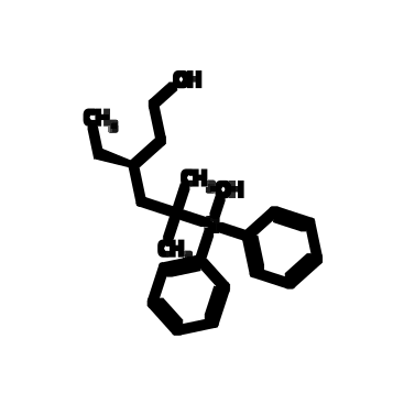 CC[C@@H](CCO)CC(C)(C)[Si](O)(c1ccccc1)c1ccccc1